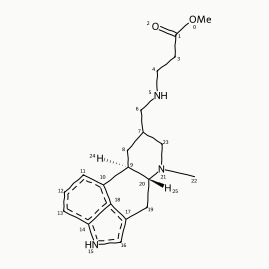 COC(=O)CCNCC1C[C@@H]2c3cccc4[nH]cc(c34)C[C@H]2N(C)C1